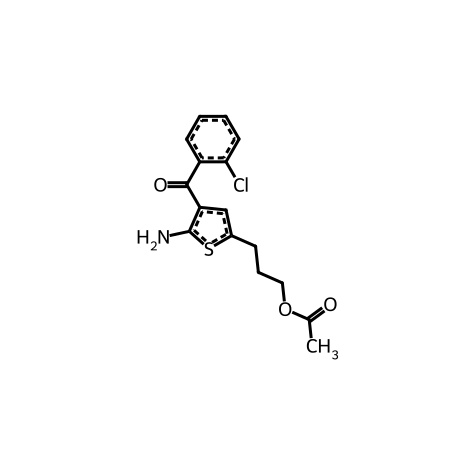 CC(=O)OCCCc1cc(C(=O)c2ccccc2Cl)c(N)s1